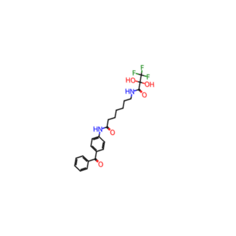 O=C(CCCCCCNC(=O)C(O)(O)C(F)(F)F)Nc1ccc(C(=O)c2ccccc2)cc1